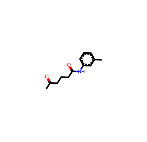 CC(=O)CCCC(=O)Nc1cccc(C)c1